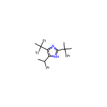 CCCC(C)(C)c1nc(C(C)(CC)CC)c(C(C)C(C)C)[nH]1